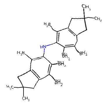 Bc1c(B)c(Nc2c(B)c(B)c3c(c2B)CC(C)(C)C3)c(B)c2c1CC(C)(C)C2